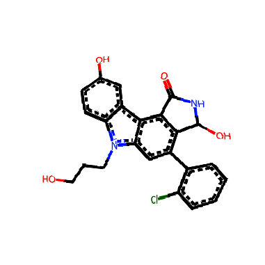 O=C1NC(O)c2c(-c3ccccc3Cl)cc3c(c21)c1cc(O)ccc1n3CCCO